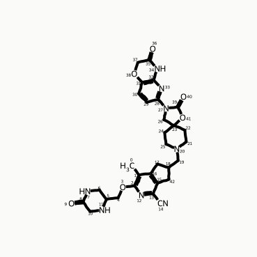 Cc1c(OCC2CNC(=O)CN2)nc(C#N)c2c1CC(CN1CCC3(CC1)CN(c1ccc4c(n1)NC(=O)CO4)C(=O)O3)C2